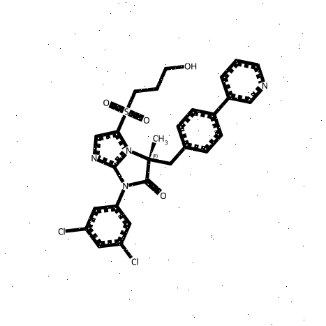 C[C@@]1(Cc2ccc(-c3cccnc3)cc2)C(=O)N(c2cc(Cl)cc(Cl)c2)c2ncc(S(=O)(=O)CCCO)n21